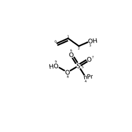 C=CCO.CCCS(=O)(=O)OO